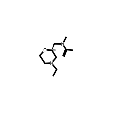 C=C(C)N(C)C[C@H]1CN(CC)CCO1